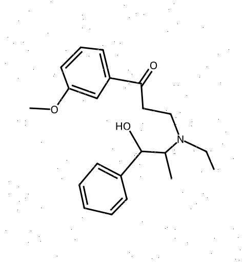 CCN(CCC(=O)c1cccc(OC)c1)C(C)C(O)c1ccccc1